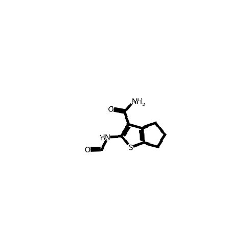 NC(=O)c1c(NC=O)sc2c1CCC2